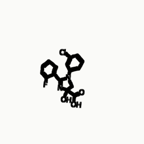 O=C(O)C1(O)CN(c2cccc(Cl)c2)C(c2ccccc2F)=N1